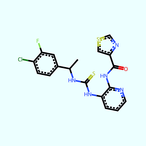 CC(NC(=S)Nc1cccnc1NC(=O)c1cscn1)c1ccc(Cl)c(F)c1